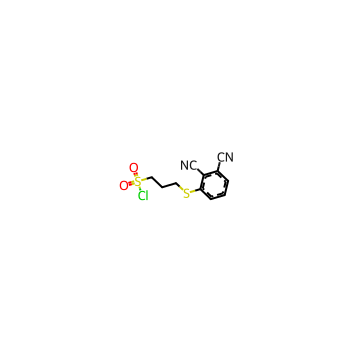 N#Cc1cccc(SCCCS(=O)(=O)Cl)c1C#N